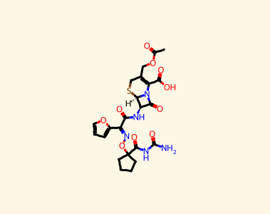 CC(=O)OCC1=C(C(=O)O)N2C(=O)[C@@H](NC(=O)C(=NOC3(C(=O)NC(N)=O)CCCC3)c3ccco3)[C@H]2SC1